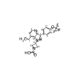 C=Cc1ccnc2c(-c3ccc(OC(F)(F)F)cc3)nn(C3CN(C(=O)O)C3)c12